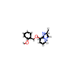 COc1ccccc1COc1cccn2cc(C)nc12